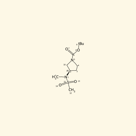 CN([C@@H]1CCN(C(=O)OC(C)(C)C)C1)S(C)(=O)=O